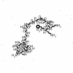 CC[C@H](C)[C@H](NC(=O)[C@H](CCCCN)NC(=O)[C@H](CCCCN)NC(=O)[C@@H](N)Cc1ccccc1)C(=O)N[C@@H](CO)C(=O)NCC(=O)NCC(=O)NCC(=O)NCC(=O)N[C@@H](CO)C(=O)NCC(=O)NCC(=O)NCC(=O)N[C@@H](CO)C(=O)N[C@@H](CS)C(=O)N[C@H](C(=O)N[C@@H](CC(N)=O)C(=O)N[C@@H](CC(C)C)C(=O)N[C@H](C(=O)N[C@H](C(=O)O)[C@@H](C)O)[C@@H](C)O)C(C)C